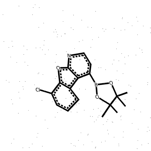 CC1(C)OB(c2ccnc3oc4c(Cl)cccc4c23)OC1(C)C